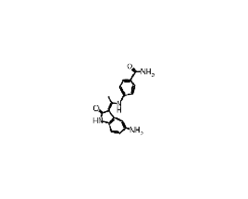 CC(Nc1ccc(C(N)=O)cc1)=C1C(=O)Nc2ccc(N)cc21